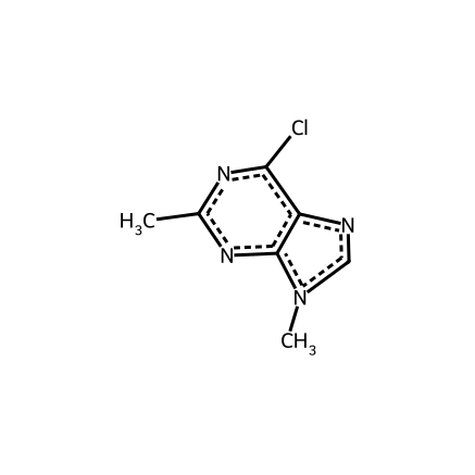 Cc1nc(Cl)c2ncn(C)c2n1